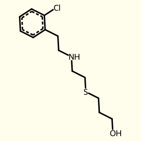 OCCCSCCNCCc1ccccc1Cl